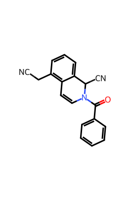 N#CCc1cccc2c1C=CN(C(=O)c1ccccc1)C2C#N